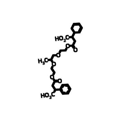 CC(COCCOC(=O)CC(C(=O)O)C1C=CC=CC1)OCCOC(=O)CC(C(=O)O)c1ccccc1